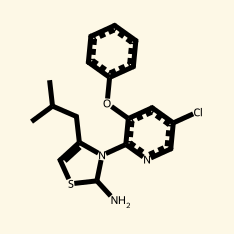 CC(C)CC1=CSC(N)N1c1ncc(Cl)cc1Oc1ccccc1